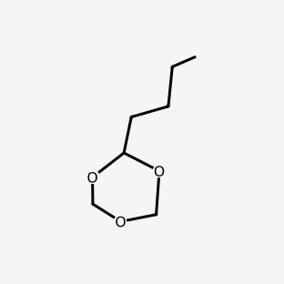 CCCCC1OCOCO1